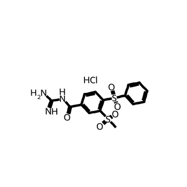 CS(=O)(=O)c1cc(C(=O)NC(=N)N)ccc1S(=O)(=O)c1ccccc1.Cl